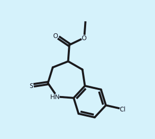 COC(=O)C1CC(=S)Nc2ccc(Cl)cc2C1